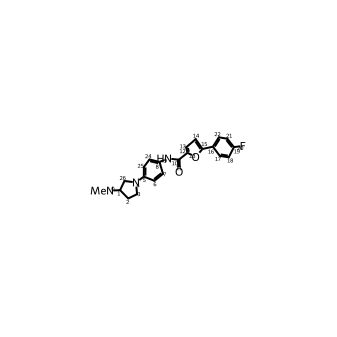 CNC1CCN(c2ccc(NC(=O)c3ccc(-c4ccc(F)cc4)o3)cc2)C1